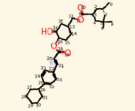 CCCC(CC(C)(C)C)C(=O)OCC1CCC(OC(=O)/C=C/c2ccc(C3CCCCC3)cc2)C(O)C1